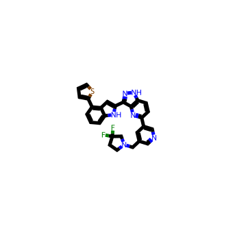 FC1(F)CCN(Cc2cncc(-c3ccc4[nH]nc(-c5cc6c(-c7cccs7)cccc6[nH]5)c4n3)c2)C1